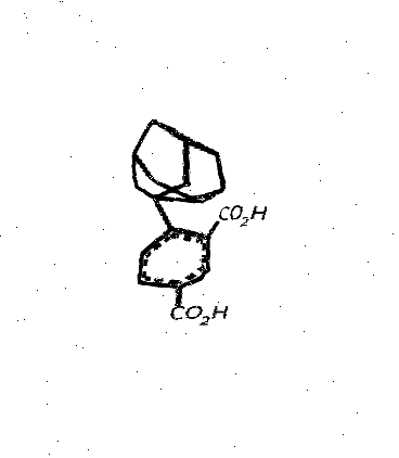 O=C(O)c1ccc(C23CC4CC(CC(C4)C2)C3)c(C(=O)O)c1